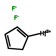 [F-].[F-].[Hf+2][C]1=CC=CC1